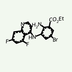 CCOC(=O)c1cc(Br)cc(Nc2ccnc3cc(F)cc(F)c23)c1N